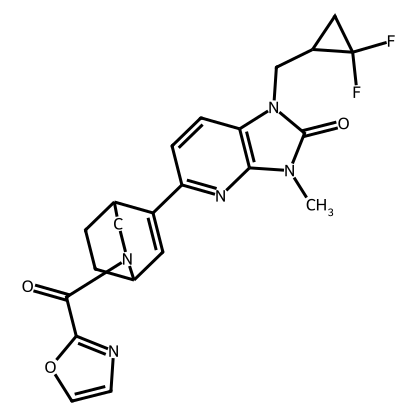 Cn1c(=O)n(CC2CC2(F)F)c2ccc(C3=CC4CCC3CN4C(=O)c3ncco3)nc21